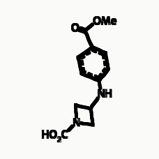 COC(=O)c1ccc(NC2CN(C(=O)O)C2)cc1